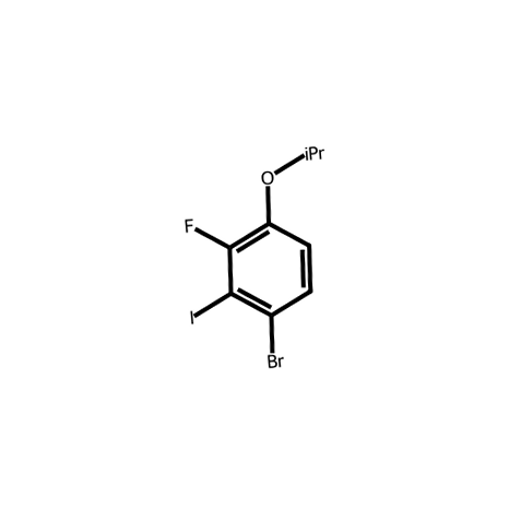 CC(C)Oc1ccc(Br)c(I)c1F